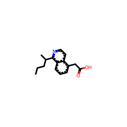 CCCC(C)c1nccc2c(CC(=O)O)cccc12